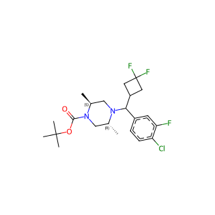 C[C@@H]1CN(C(=O)OC(C)(C)C)[C@@H](C)CN1C(c1ccc(Cl)c(F)c1)C1CC(F)(F)C1